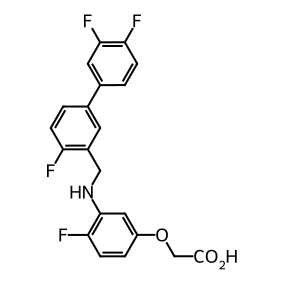 O=C(O)COc1ccc(F)c(NCc2cc(-c3ccc(F)c(F)c3)ccc2F)c1